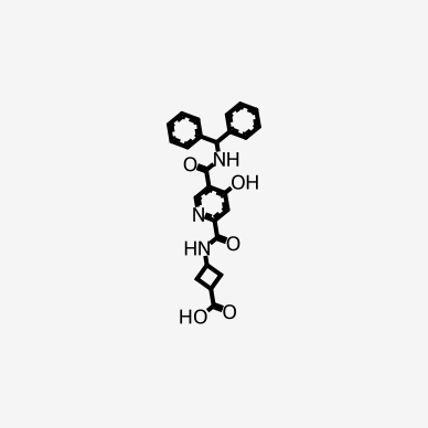 O=C(NC1CC(C(=O)O)C1)c1cc(O)c(C(=O)NC(c2ccccc2)c2ccccc2)cn1